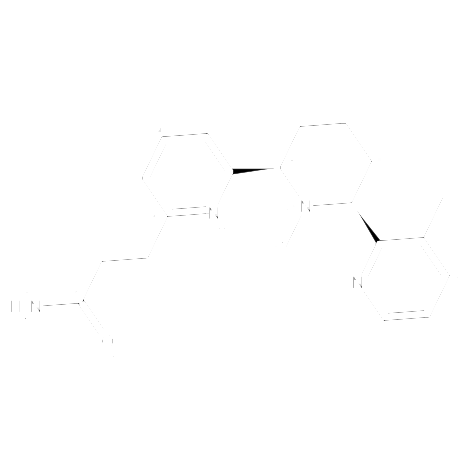 Cc1cccnc1[C@@H]1CCC[C@H](c2cccc(CCC(N)=O)n2)N1C